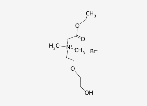 CCOC(=O)C[N+](C)(C)CCOCCO.[Br-]